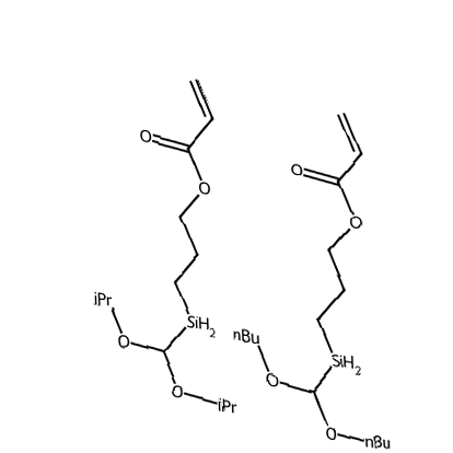 C=CC(=O)OCCC[SiH2]C(OC(C)C)OC(C)C.C=CC(=O)OCCC[SiH2]C(OCCCC)OCCCC